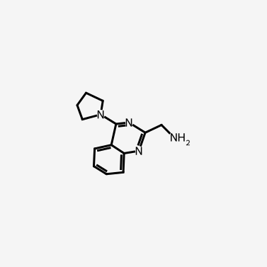 NCc1nc(N2CCCC2)c2ccccc2n1